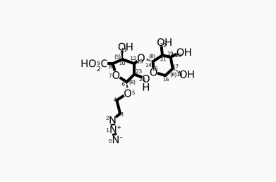 [N-]=[N+]=NCCO[C@@H]1OC(C(=O)O)[C@@H](O)C(O[C@H]2OC[C@@H](O)C(O)C2O)C1O